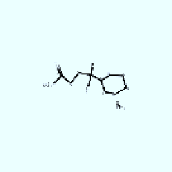 COC(=O)CCC(F)(F)C1CCC[C@H](N)C1